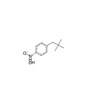 CC(C)(C)Cc1ccc([NH+]([O-])O)cc1